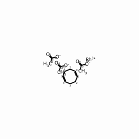 C1=CCCC=CCC1.CC(=O)[O-].CC(=O)[O-].CC(=O)[O-].[Rh+3]